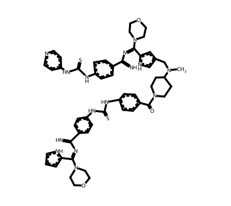 CN(Cc1c[nH]c(/C(=N\C(=N)c2ccc(NC(=S)Nc3ccncc3)cc2)N2CCOCC2)c1)C1CCN(C(=O)c2ccc(NC(=S)Nc3ccc(C(=N)/N=C(\c4ccc[nH]4)N4CCOCC4)cc3)cc2)CC1